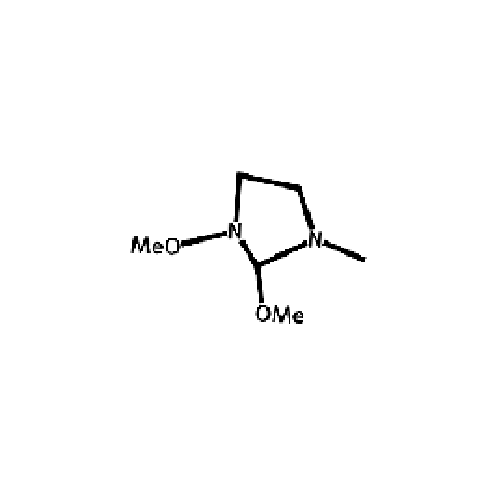 COC1N(C)CCN1OC